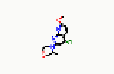 COc1ccc2c(Cl)cc(N3CCOCC3C)nc2n1